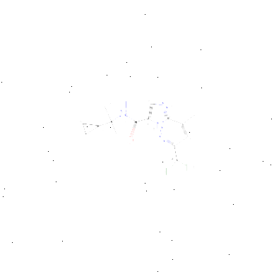 Cc1cc(C(F)F)nn2c(C(=O)NC(C)(C)C3CC3)cnc12